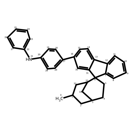 CC1CC2CCC3(c4ccccc4-c4ccc(-c5ccc(Nc6ccccc6)cc5)cc43)C(C1)C2